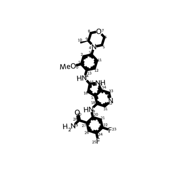 COc1cc(N2CCOC[C@@H]2C)ccc1Nc1cc2c(Nc3cc(F)c(F)cc3C(N)=O)cncc2[nH]1